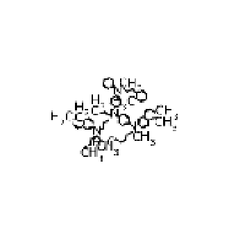 C=C/C=C\CC(C)N(c1ccc(N(/C(=C/CC)CCCN(/C(=C/CCC)CC)c2ccc(C)c(/C=C\C=C)c2)C2CC=C(N(c3ccccc3)C(C)C/C=C3/C=CC=CC3C)CC2)cc1)c1ccc(CC)c(/C=C\CC)c1